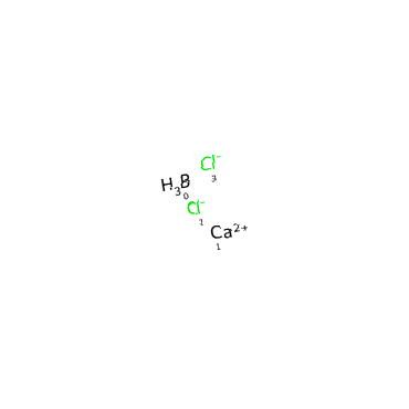 B.[Ca+2].[Cl-].[Cl-]